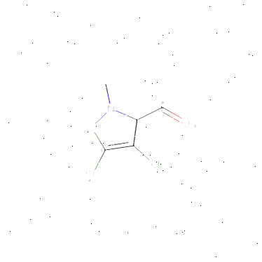 CN1SC(Cl)=C(Cl)C1C=O